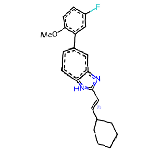 COc1ccc(F)cc1-c1ccc2[nH]c(/C=C/C3CCCCC3)nc2c1